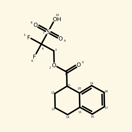 O=C(OCC(F)(F)S(=O)(=O)O)C1CCCc2ccccc21